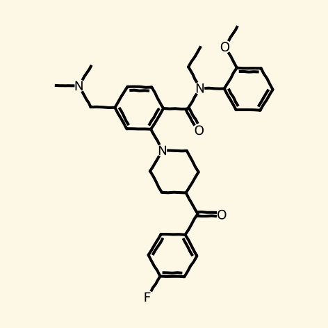 CCN(C(=O)c1ccc(CN(C)C)cc1N1CCC(C(=O)c2ccc(F)cc2)CC1)c1ccccc1OC